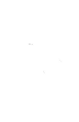 CCCCCCCCCCC(CCCCCCCCC(=O)OCCC(CCCCC)CCCCC)COC(=O)CCOCCN(C)C